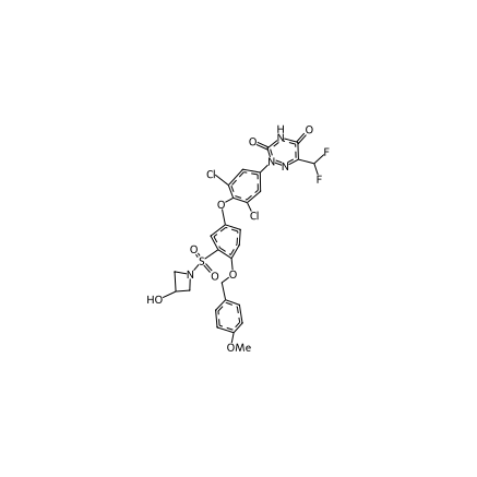 COc1ccc(COc2ccc(Oc3c(Cl)cc(-n4nc(C(F)F)c(=O)[nH]c4=O)cc3Cl)cc2S(=O)(=O)N2CC(O)C2)cc1